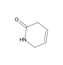 O=C1CC=CCN1